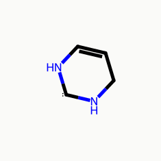 [C]1NC=CCN1